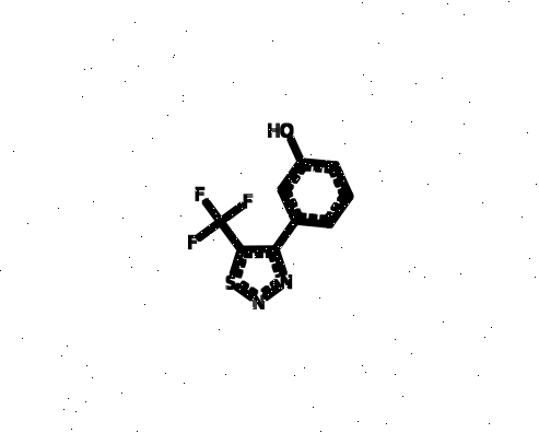 Oc1cccc(-c2nnsc2C(F)(F)F)c1